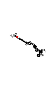 NC(=O)CCCCCCCCCCCCC(=O)N1CCN(CCOc2ccc(N3CCCC(Oc4cc(-c5ccccc5O)nnc4N)C3)cc2)CC1